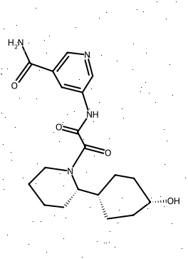 NC(=O)c1cncc(NC(=O)C(=O)N2CCCC[C@H]2[C@H]2CC[C@@H](O)CC2)c1